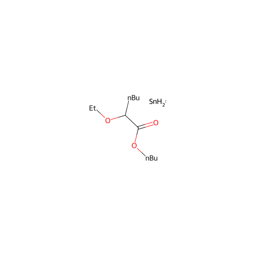 CCCCOC(=O)C(CCCC)OCC.[SnH2]